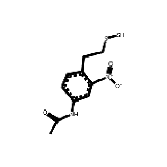 CC(=O)Nc1ccc(CCSS)c([N+](=O)[O-])c1